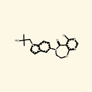 CC(C)(O)Cn1ccc2cc(N3CCOc4ncnc(Cl)c4C3=O)ccc21